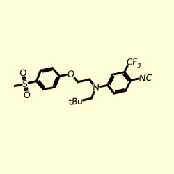 [C-]#[N+]c1ccc(N(CCOc2ccc(S(C)(=O)=O)cc2)CC(C)(C)C)cc1C(F)(F)F